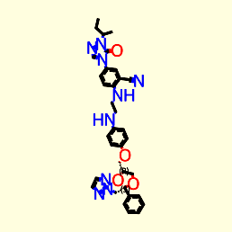 CCC(C)n1ncn(-c2ccc(NCCNc3ccc(OC[C@@H]4CO[C@@](Cn5nccn5)(c5ccccc5)O4)cc3)c(C#N)c2)c1=O